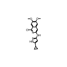 COc1cc2cc(Nc3cc(C4CC4)[nH]n3)nc(Cl)c2cc1OC